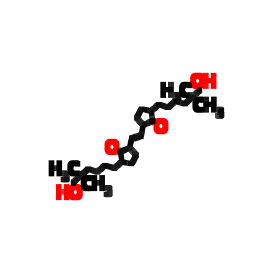 CC(C)(CO)CCCCC1CCC(C=CC2CCC(CCCCC(C)(C)CO)C2=O)C1=O